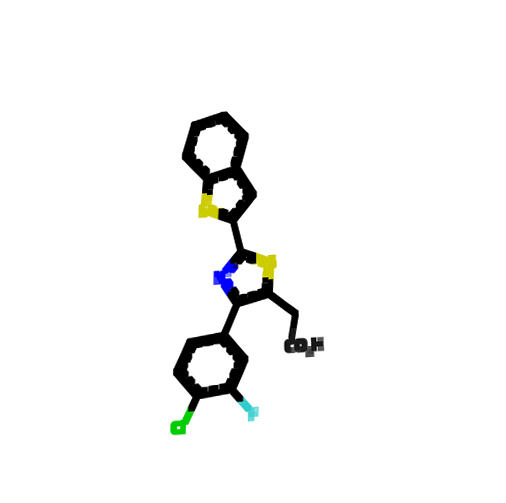 O=C(O)Cc1sc(-c2cc3ccccc3s2)nc1-c1ccc(Cl)c(F)c1